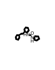 O=C(Nc1ccccc1)Nc1ccccc1C=Cc1ccccc1